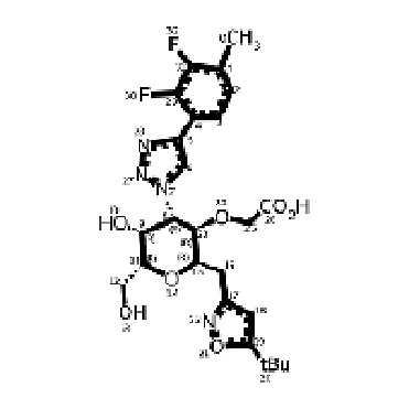 Cc1ccc(-c2cn([C@H]3[C@@H](O)[C@@H](CO)O[C@H](Cc4cc(C(C)(C)C)on4)[C@@H]3OCC(=O)O)nn2)c(F)c1F